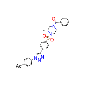 CC(=O)c1ccc(-n2cc(-c3ccc(S(=O)(=O)N4CCN(C(=O)c5ccccc5)C[C@H]4C)cc3)nn2)cc1